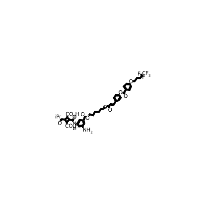 CC(C)C(=O)C1C(C(=O)O)C(C(=O)Nc2cc(N)cc(C(=O)OCCCCCCOC(=O)/C=C/c3ccc(OC(=O)c4ccc(OCCCC(F)(F)C(F)(F)F)cc4)cc3)c2)C1C(=O)O